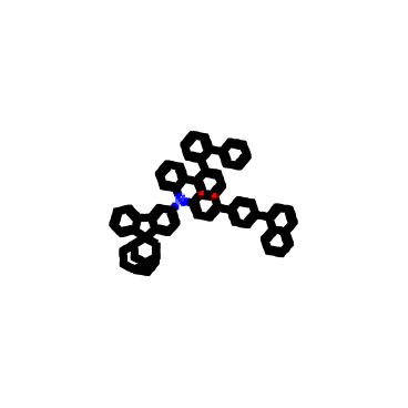 c1ccc(-c2ccccc2-c2ccccc2-c2ccccc2N(c2ccc(-c3ccc(-c4cccc5ccccc45)cc3)cc2)c2ccc3c(c2)-c2ccccc2C32C3CCC4CCC2CC4C3)cc1